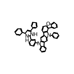 C1=C(c2ccccc2)NC(c2cccc(-n3c4ccccc4c4cc5c(cc43)c3ccc4oc6ccccc6c4c3n5-c3ccccc3)c2)NC1c1ccccc1